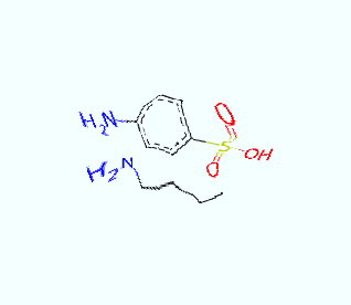 CCCCN.Nc1ccc(S(=O)(=O)O)cc1